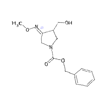 CO/N=C1\CN(C(=O)OCc2ccccc2)CC1CO